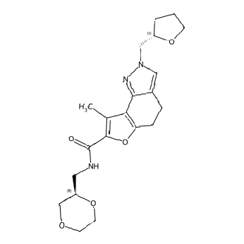 Cc1c(C(=O)NC[C@@H]2COCCO2)oc2c1-c1nn(C[C@@H]3CCCO3)cc1CC2